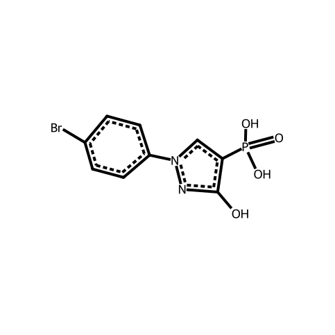 O=P(O)(O)c1cn(-c2ccc(Br)cc2)nc1O